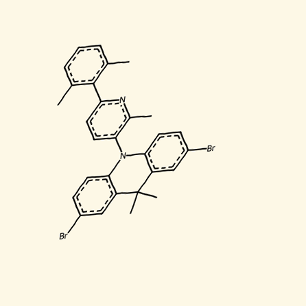 Cc1cccc(C)c1-c1ccc(N2c3ccc(Br)cc3C(C)(C)c3cc(Br)ccc32)c(C)n1